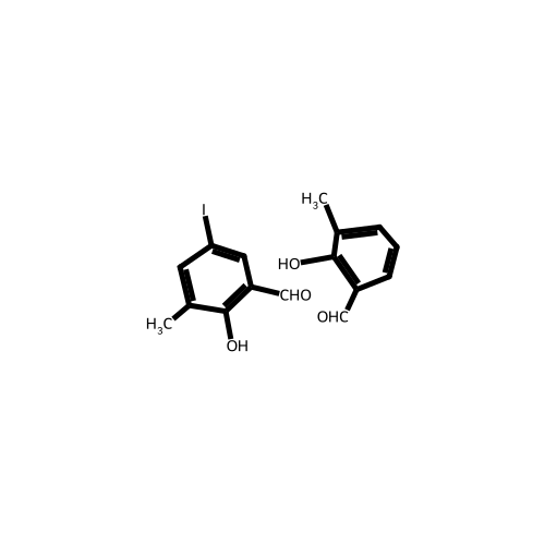 Cc1cc(I)cc(C=O)c1O.Cc1cccc(C=O)c1O